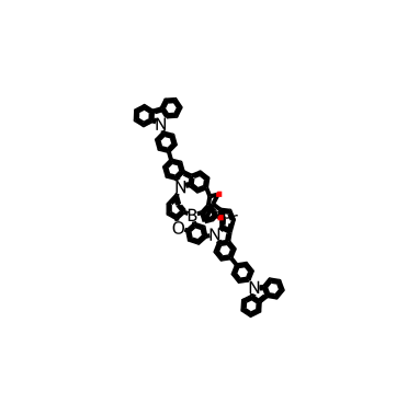 CC(C)c1cc2c3c(c1)C(C)c1ccc4c5cc(-c6ccc(-n7c8ccccc8c8ccccc87)cc6)ccc5n(c4c1)-c1ccc4c(c1)B3c1cc(ccc1O4)-n1c3ccc(-c4ccc(-n5c6ccccc6c6ccccc65)cc4)cc3c3ccc(cc31)C2C